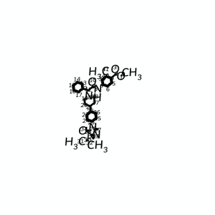 COC(=O)c1ccc(NC(=O)C(c2ccccc2)N2CCC(c3ccc(-n4cnn(C(C)C)c4=O)cc3)CC2)cc1C